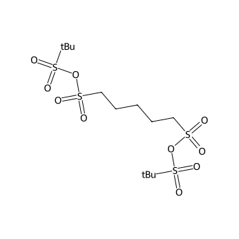 CC(C)(C)S(=O)(=O)OS(=O)(=O)CCCCCS(=O)(=O)OS(=O)(=O)C(C)(C)C